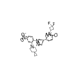 O=c1ccc(-c2cnn(-c3ccc([N+](=O)[O-])cc3N3CCC4(CC3)CC4)c2)nn1C1CC(F)(F)C1